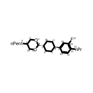 CCCCCC1COC([C@H]2CC[C@H](c3ccc(CCC)c(F)c3)CC2)OC1